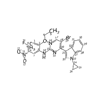 C\C=C(OCC)/C(=C\C(=C\F)[N+](=O)[O-])Nc1ncc(Br)c(-c2cn(C3CC3)c3ccccc23)n1